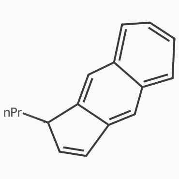 CCC[C]1C=Cc2cc3ccccc3cc21